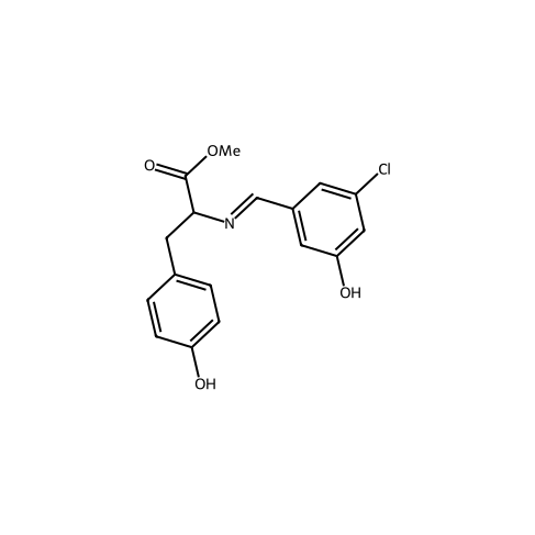 COC(=O)C(Cc1ccc(O)cc1)N=Cc1cc(O)cc(Cl)c1